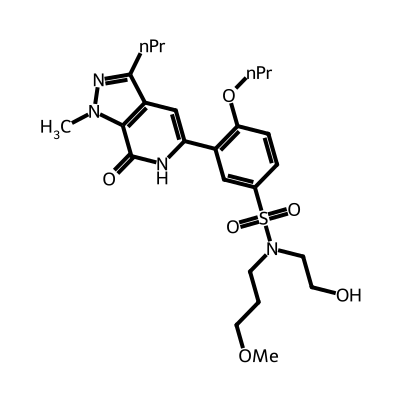 CCCOc1ccc(S(=O)(=O)N(CCO)CCCOC)cc1-c1cc2c(CCC)nn(C)c2c(=O)[nH]1